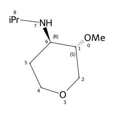 CO[C@@H]1COCC[C@H]1NC(C)C